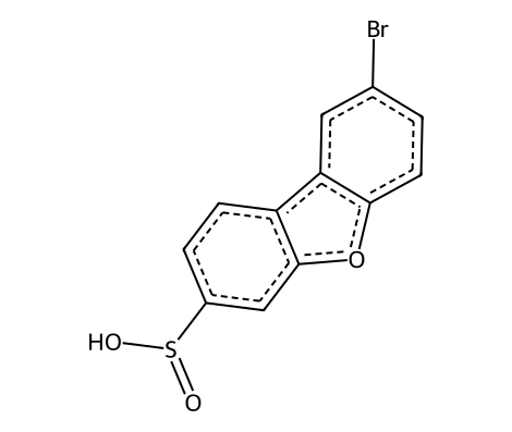 O=S(O)c1ccc2c(c1)oc1ccc(Br)cc12